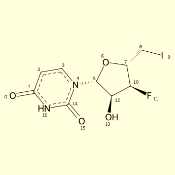 O=c1ccn([C@@H]2O[C@H](CI)[C@@H](F)[C@H]2O)c(=O)[nH]1